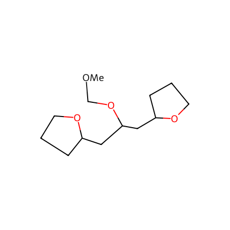 COCOC(CC1CCCO1)CC1CCCO1